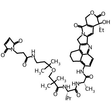 CC[C@@]1(O)C(=O)OCc2c1cc1n(c2=O)Cc2c-1nc1ccc(NC(=O)[C@H](C)NC(=O)[C@@H](NC(=O)C(C)(C)COC(C)(C)CCNC(=O)CCN3C(=O)C=CC3=O)C(C)C)c3c1c2CCC3